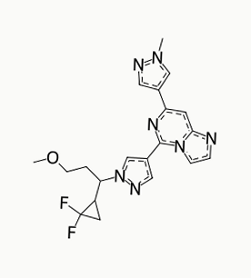 COCCC(C1CC1(F)F)n1cc(-c2nc(-c3cnn(C)c3)cc3nccn23)cn1